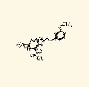 COc1cccc(CCc2nc3c(S(C)(=O)=O)nc(N)nc3s2)c1